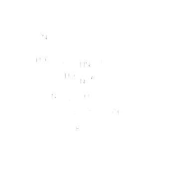 Cc1c(C#N)cccc1-c1ccc2ncc(-c3cc(F)cc(CCO)c3)c(C(=O)N(C)C[C@@H]3CCCN3)c2c1